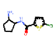 NC1CCCC1NC(=O)c1ccc(Cl)s1